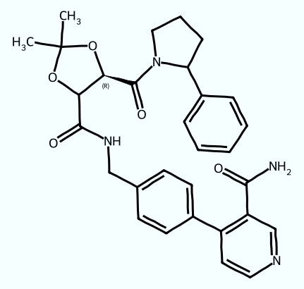 CC1(C)OC(C(=O)NCc2ccc(-c3ccncc3C(N)=O)cc2)[C@H](C(=O)N2CCCC2c2ccccc2)O1